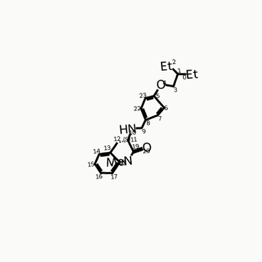 CCC(CC)COc1ccc(CN[C@@H](Cc2ccccc2)C(=O)NC)cc1